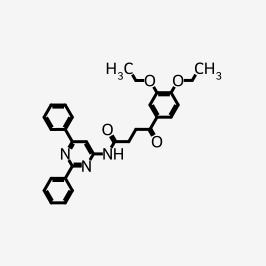 CCOc1ccc(C(=O)CCC(=O)Nc2cc(-c3ccccc3)nc(-c3ccccc3)n2)cc1OCC